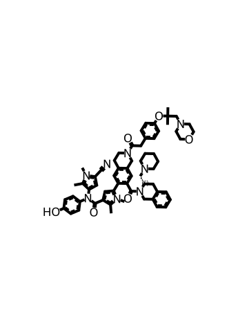 Cc1c(N(C(=O)c2cc(-c3cc4c(cc3C(=O)N3Cc5ccccc5C[C@H]3CN3CCCCC3)CN(C(=O)Cc3ccc(OC(C)(C)CN5CCOCC5)cc3)CC4)n(C)c2C)c2ccc(O)cc2)cc(C#N)n1C